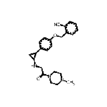 CN1CCN(C(=O)CNC2CC2c2ccc(OCc3ccccc3C#N)cc2)CC1